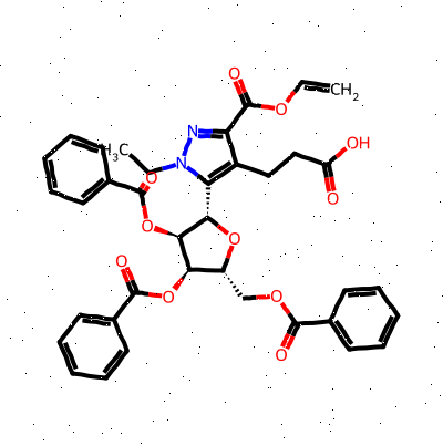 C=COC(=O)c1nn(CC)c([C@@H]2O[C@H](COC(=O)c3ccccc3)[C@@H](OC(=O)c3ccccc3)[C@H]2OC(=O)c2ccccc2)c1CCC(=O)O